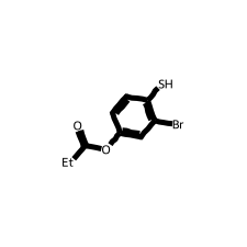 CCC(=O)Oc1ccc(S)c(Br)c1